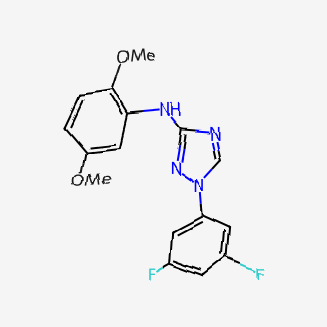 COc1ccc(OC)c(Nc2ncn(-c3cc(F)cc(F)c3)n2)c1